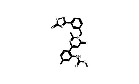 COC(=O)Nc1cc(Cl)ccc1-c1cc(=O)n(Cc2cccc(-c3nc(=O)o[nH]3)c2)c(C)n1